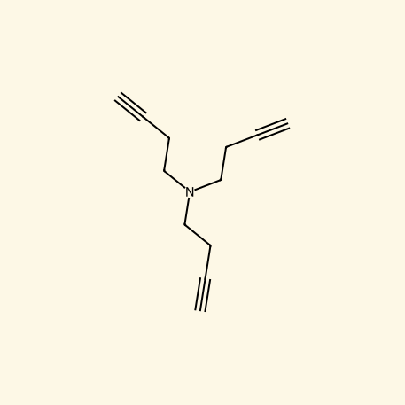 C#CCCN(CCC#C)CCC#C